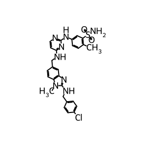 Cc1ccc(Nc2nccc(NCc3ccc4c(c3)nc(NCc3ccc(Cl)cc3)n4C)n2)cc1S(N)(=O)=O